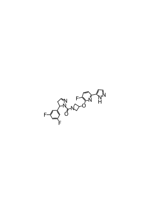 O=C(N1CC(Oc2nc(-c3ccn[nH]3)ccc2F)C1)N1N=CCC1c1cc(F)cc(F)c1